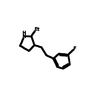 CCC1NCCC1CCc1cccc(F)c1